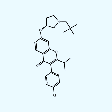 CC(C)c1oc2cc(O[C@H]3CCN(CC(C)(C)C)C3)ccc2c(=O)c1-c1ccc(Cl)cc1